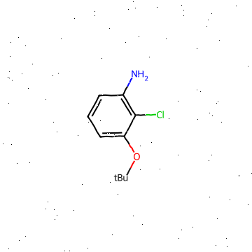 CC(C)(C)Oc1cccc(N)c1Cl